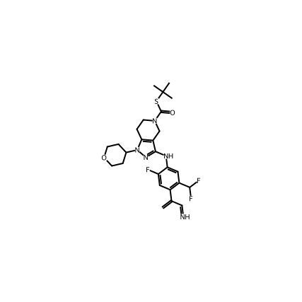 C=C(C=N)c1cc(F)c(Nc2nn(C3CCOCC3)c3c2CN(C(=O)SC(C)(C)C)CC3)cc1C(F)F